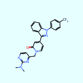 CN(C)c1nccc(Cn2ccc(-c3nn(-c4ccc(C(F)(F)F)cc4)c4ccccc34)cc2=O)n1